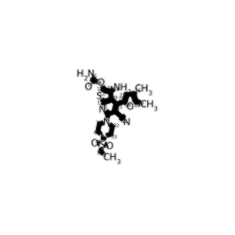 CCS(=O)(=O)N1CCN(c2nc3sc(OC(N)=O)c(N)c3c(-c3cc(C)c(C)o3)c2C#N)CC1